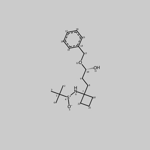 CC(C)(C)[S+]([O-])NC1(CC[C@@H](O)OCc2ccccc2)CCC1